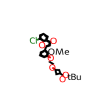 COc1c(OCCOC2CC(C(=O)OC(C)(C)C)C2)cccc1-c1cc(=O)c2cccc(Cl)c2o1